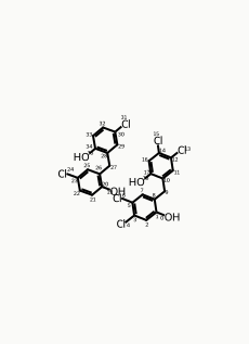 Oc1cc(Cl)c(Cl)cc1Cc1cc(Cl)c(Cl)cc1O.Oc1ccc(Cl)cc1Cc1cc(Cl)ccc1O